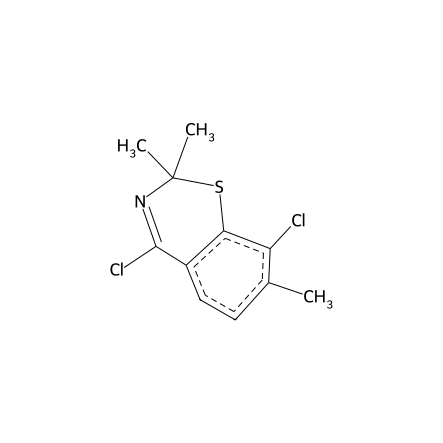 Cc1ccc2c(c1Cl)SC(C)(C)N=C2Cl